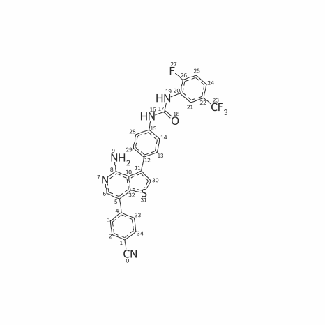 N#Cc1ccc(-c2cnc(N)c3c(-c4ccc(NC(=O)Nc5cc(C(F)(F)F)ccc5F)cc4)csc23)cc1